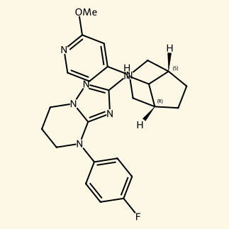 COc1cc(N2C[C@H]3CC[C@@H](C2)C3Nc2nc3n(n2)CCCN3c2ccc(F)cc2)ccn1